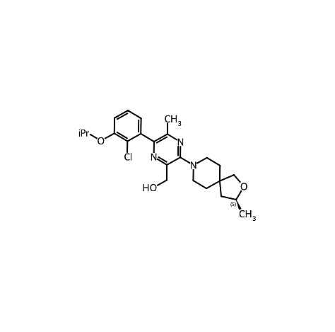 Cc1nc(N2CCC3(CC2)CO[C@@H](C)C3)c(CO)nc1-c1cccc(OC(C)C)c1Cl